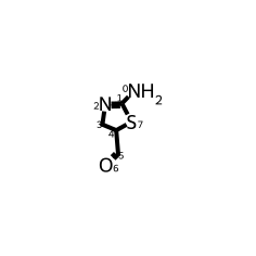 NC1=NCC(C=O)S1